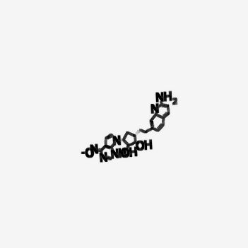 CO/N=c1\nc[nH]c2c1ccn2[C@@H]1C[C@H](CCc2ccc3ccc(N)nc3c2)[C@@H](O)[C@H]1O